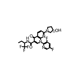 CCC(NC(=O)c1cn(-c2ncc(F)cc2F)c2nc(N3CC[C@H](O)C3)ccc2c1=O)C(F)(F)F